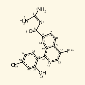 NC(N)=NC(=O)c1ccc2c(F)cnc(-c3ccc(Cl)cc3O)c2c1